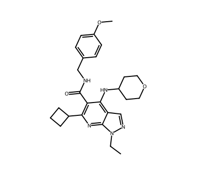 CCn1ncc2c(NC3CCOCC3)c(C(=O)NCc3ccc(OC)cc3)c(C3CCC3)nc21